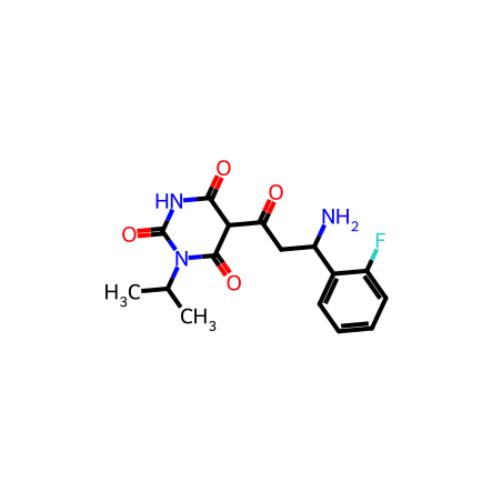 CC(C)N1C(=O)NC(=O)C(C(=O)CC(N)c2ccccc2F)C1=O